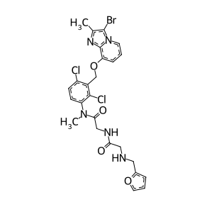 Cc1nc2c(OCc3c(Cl)ccc(N(C)C(=O)CNC(=O)CNCc4ccco4)c3Cl)cccn2c1Br